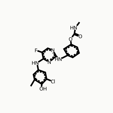 CNC(=O)Oc1cccc(Nc2ncc(F)c(Nc3cc(C)c(O)c(Cl)c3)n2)c1